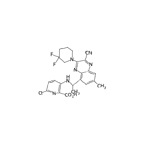 Cc1cc(C(C)Nc2ccc(Cl)nc2C(=O)O)c2nc(N3CCCC(F)(F)C3)c(C#N)nc2c1